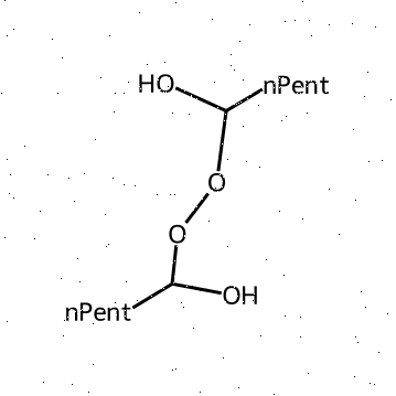 CCCCCC(O)OOC(O)CCCCC